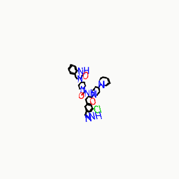 O=C(NC(Cc1cc(Cl)c2[nH]ncc2c1)C(=O)N1CCC(N2CCCCC2)CC1)N1CCC(N2Cc3ccccc3NC2=O)CC1